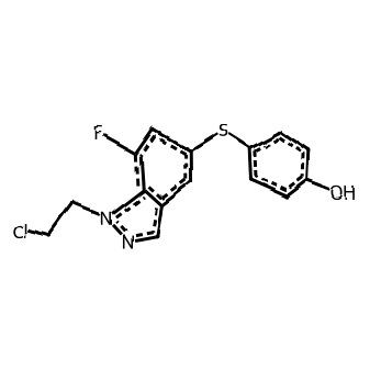 Oc1ccc(Sc2cc(F)c3c(cnn3CCCl)c2)cc1